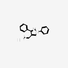 ON=Cc1cn(-c2ccccc2)nc1-c1ccccc1